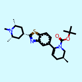 C[C@H]1CC=C(c2ccc3sc([C@H]4C[C@@H](C)N(C)[C@@H](C)C4)nc3c2)N(C(=O)OC(C)(C)C)C1